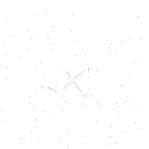 CCCC[Si](CC)(CCC)OCC